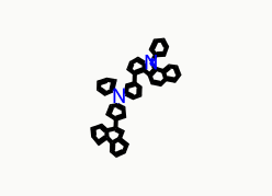 c1ccc(N(c2ccc(-c3cc4ccccc4c4ccccc34)cc2)c2cccc(-c3cccc4c3c3ccc5ccccc5c3n4-c3ccccc3)c2)cc1